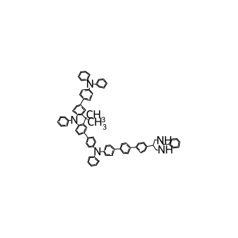 CC1(C)c2cc(-c3ccc(N(c4ccccc4)c4ccccc4)cc3)ccc2N(c2ccccc2)c2ccc(-c3ccc(N(c4ccccc4)c4ccc(-c5ccc(-c6ccc(C7CNC(c8ccccc8)NC7)cc6)cc5)cc4)cc3)cc21